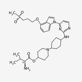 CC(C)[C@H](N)C(=O)OC1CCN(C2CCC(Nc3nccc(-n4ccc5c(OCCCS(C)(=O)=O)cccc54)n3)CC2)CC1